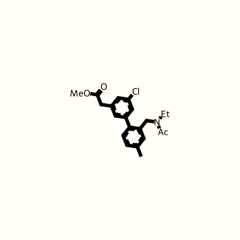 CCN(Cc1cc(C)ccc1-c1cc(Cl)cc(CC(=O)OC)c1)C(C)=O